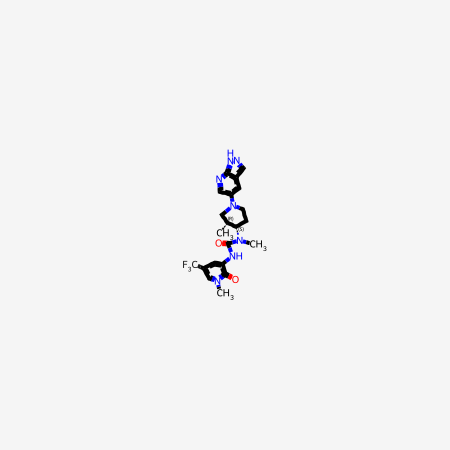 C[C@@H]1CN(c2cnc3[nH]ncc3c2)CC[C@@H]1N(C)C(=O)Nc1cc(C(F)(F)F)cn(C)c1=O